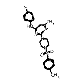 Cc1ccc(S(=O)(=O)N2CCN(c3nc(C)cc(Nc4ccc(F)cc4)n3)CC2)cc1